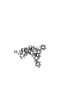 CC1(C)c2ccccc2Oc2c1ccc1c2-c2ccc(N3c4ccc(-c5ccccc5)cc4Sc4cc(-c5ccccc5)ccc43)cc2C1(C)C